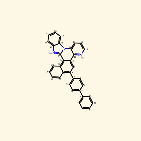 c1ccc(-c2ccc(-c3cc4c5ncccc5n5c6ccccc6nc5c4c4ccccc34)cc2)cc1